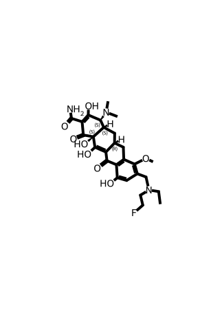 CCN(CCF)Cc1cc(O)c2c(c1OC)C[C@H]1C[C@H]3[C@H](N(C)C)C(O)=C(C(N)=O)C(=O)[C@@]3(O)C(O)=C1C2=O